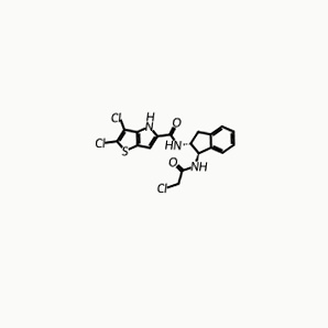 O=C(CCl)N[C@@H]1c2ccccc2C[C@H]1NC(=O)c1cc2sc(Cl)c(Cl)c2[nH]1